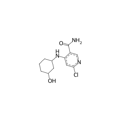 NC(=O)c1cnc(Cl)cc1NC1CCCC(O)C1